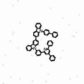 c1ccc(-c2ccc(-n3c4ccccc4c4ccc(-c5ccc6c(c5)c5ccccc5n6-c5cccc(-c6cc(-c7ccccc7)cc(-c7ccccc7)n6)c5)cc43)cc2)cc1